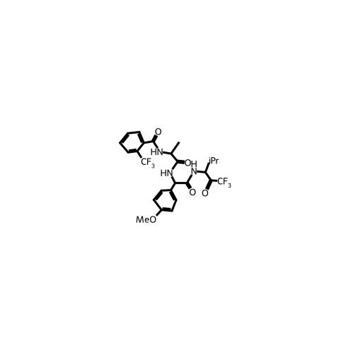 COc1ccc(C(NC(=O)C(C)NC(=O)c2ccccc2C(F)(F)F)C(=O)NC(C(=O)C(F)(F)F)C(C)C)cc1